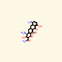 NC(=O)C1C(=O)[C@@]2(O)C(N=O)=C3C(=O)c4c(O)ccc(N)c4CC3CC2[C@H](N)C1O